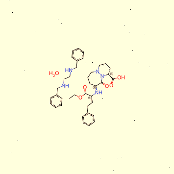 CCOC(=O)[C@H](CCc1ccccc1)N[C@H]1CCCN2CCC[C@@H](C(=O)O)N2C1=O.O.c1ccc(CNCCNCc2ccccc2)cc1